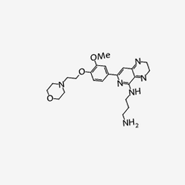 COc1cc(-c2cc3c(c(NCCCN)n2)=NCCN=3)ccc1OCCN1CCOCC1